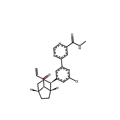 C=CC(=O)N1[C@@H]2CC[C@H]1[C@H](c1cc(Cl)nc(-c3cc(C(=O)NC)ncn3)c1)OC2